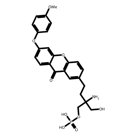 COc1ccc(Oc2ccc3c(=O)c4cc(CCC(N)(CO)COP(=O)(O)O)ccc4oc3c2)cc1